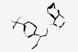 CCC(COc1ncnc2ccccc12)c1ccc(C(C)(C)C)cc1